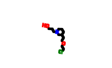 OCCCN1CCCC(CCOCCCl)C1